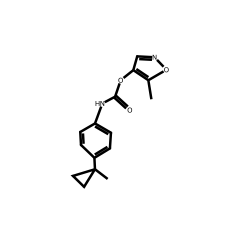 Cc1oncc1OC(=O)Nc1ccc(C2(C)CC2)cc1